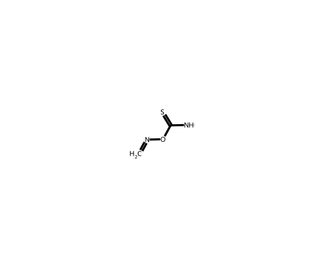 C=NOC([NH])=S